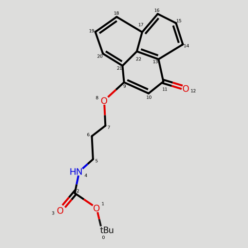 CC(C)(C)OC(=O)NCCCOC1=CC(=O)c2cccc3cccc1c23